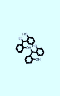 CC(c1ccccc1O)c1ccccc1O.CCC(c1ccccc1O)c1ccccc1O